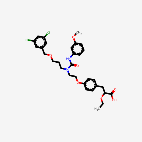 CCOC(Cc1ccc(OCCN(CCCOCc2cc(Cl)cc(Cl)c2)C(=O)Nc2cccc(OC)c2)cc1)C(=O)O